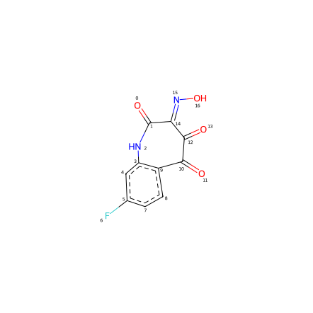 O=C1Nc2cc(F)ccc2C(=O)C(=O)C1=NO